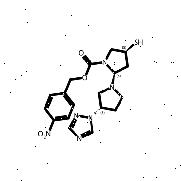 O=C(OCc1ccc([N+](=O)[O-])cc1)N1C[C@@H](S)C[C@H]1N1CC[C@H](n2cncn2)C1